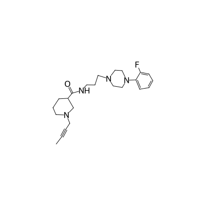 CC#CCN1CCCC(C(=O)NCCCN2CCN(c3ccccc3F)CC2)C1